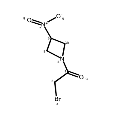 O=C(CBr)N1CC([N+](=O)[O-])C1